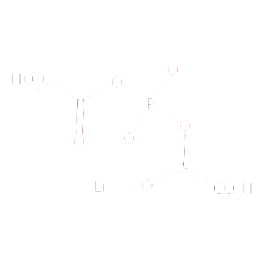 O=C(O)C(=O)OP(=O)([O-])OC(=O)C(=O)O.[Li+]